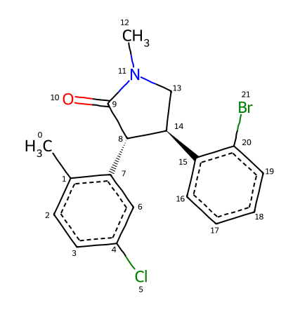 Cc1ccc(Cl)cc1[C@@H]1C(=O)N(C)C[C@H]1c1ccccc1Br